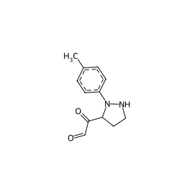 Cc1ccc(N2NCCC2C(=O)C=O)cc1